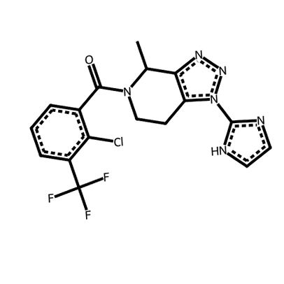 CC1c2nnn(-c3ncc[nH]3)c2CCN1C(=O)c1cccc(C(F)(F)F)c1Cl